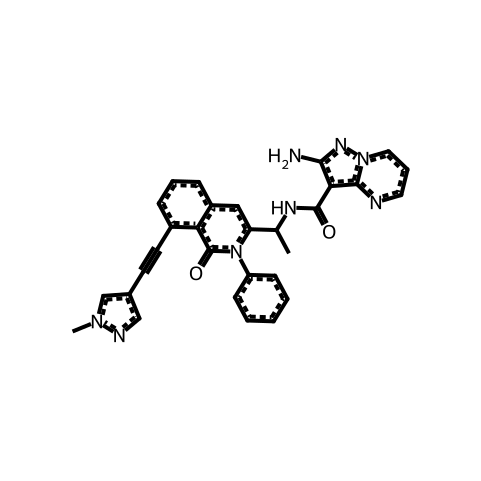 CC(NC(=O)c1c(N)nn2cccnc12)c1cc2cccc(C#Cc3cnn(C)c3)c2c(=O)n1-c1ccccc1